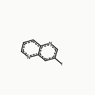 Ic1cnc2cccnc2c1